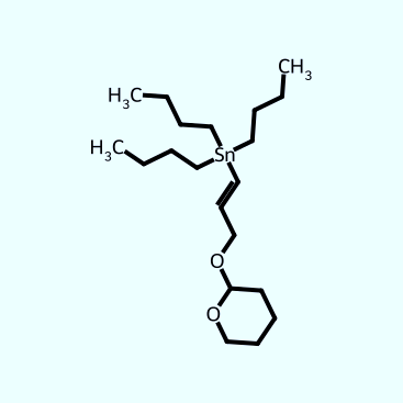 CCC[CH2][Sn]([CH]=CCOC1CCCCO1)([CH2]CCC)[CH2]CCC